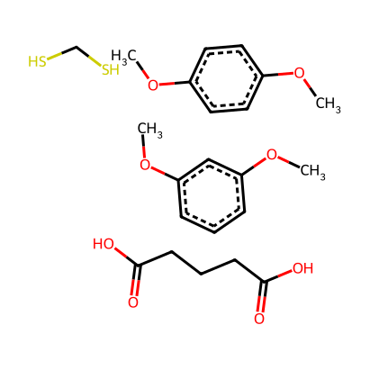 COc1ccc(OC)cc1.COc1cccc(OC)c1.O=C(O)CCCC(=O)O.SCS